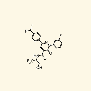 O=C(N[C@H](CO)C(F)(F)F)c1cc(-c2ccc(C(F)F)cc2)nn(-c2cccc(F)c2)c1=O